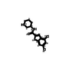 O=C(N[C@@H]1CCCNC1)c1cc2c(Cl)cc(Cl)cc2s1